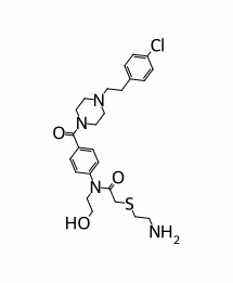 NCCSCC(=O)N(CCO)c1ccc(C(=O)N2CCN(CCc3ccc(Cl)cc3)CC2)cc1